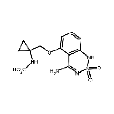 NC1=NS(=O)(=O)Nc2cccc(OCC3(NC(=O)O)CC3)c21